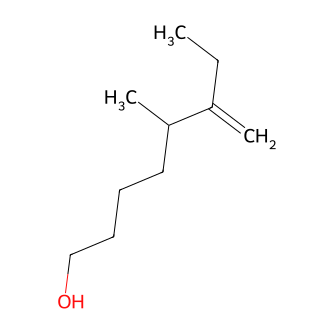 C=C(CC)C(C)CCCCO